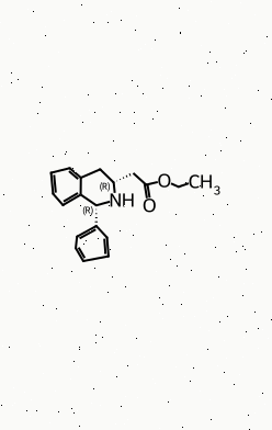 CCOC(=O)C[C@H]1Cc2ccccc2[C@@H](c2ccccc2)N1